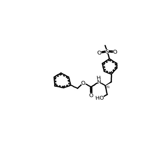 CS(=O)(=O)c1ccc(C[C@@H](CO)NC(=O)OCc2ccccc2)cc1